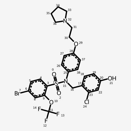 O=S(=O)(c1ccc(Br)cc1OC(F)(F)F)N(Cc1ccc(O)cc1Cl)c1ccc(OCCN2CCCC2)cc1